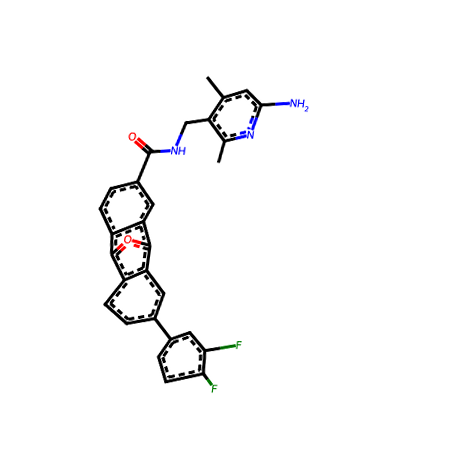 Cc1cc(N)nc(C)c1CNC(=O)c1ccc2c(c1)c1oc2c2ccc(-c3ccc(F)c(F)c3)cc21